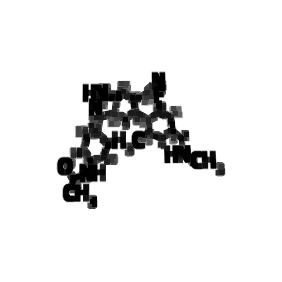 CNCc1cc(C)c(-c2cc3c(-c4ccc(NC(C)=O)cc4)n[nH]c3cc2C#N)c(F)c1